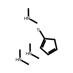 CNC.CNC.CNC.[Ti][C]1=CC=CC1